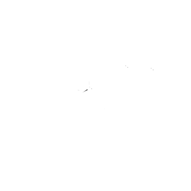 CCn1ccc2cc(C(=O)N[C@@H]3CCc4cc(C)ccc4C3)cnc21